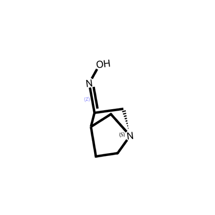 O/N=C1\C[N@]2CCC1C2